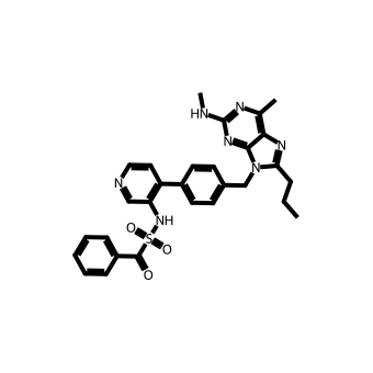 CCCc1nc2c(C)nc(NC)nc2n1Cc1ccc(-c2ccncc2NS(=O)(=O)C(=O)c2ccccc2)cc1